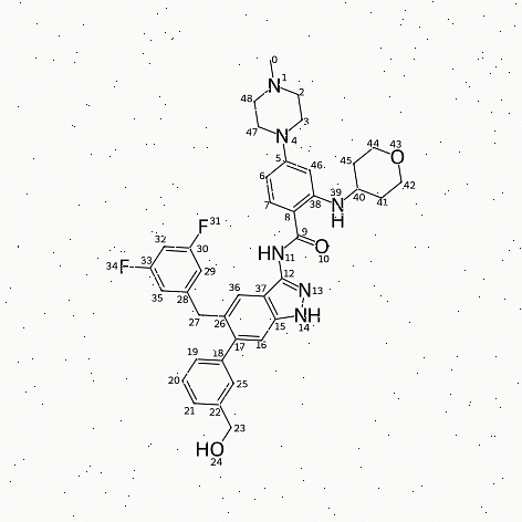 CN1CCN(c2ccc(C(=O)Nc3n[nH]c4cc(-c5cccc(CO)c5)c(Cc5cc(F)cc(F)c5)cc34)c(NC3CCOCC3)c2)CC1